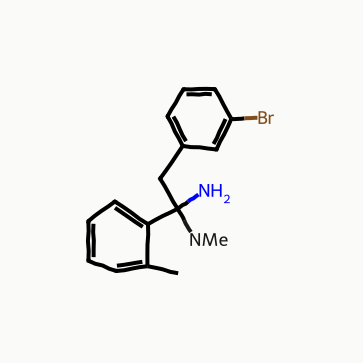 CNC(N)(Cc1cccc(Br)c1)c1ccccc1C